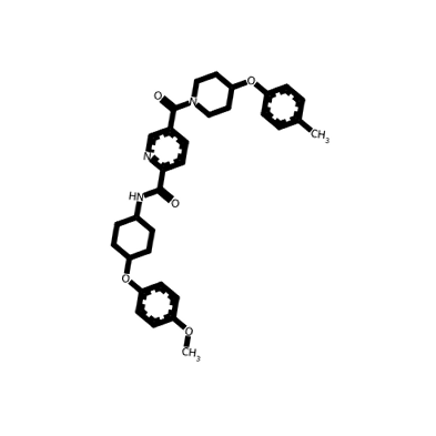 COc1ccc(OC2CCC(NC(=O)c3ccc(C(=O)N4CCC(Oc5ccc(C)cc5)CC4)cn3)CC2)cc1